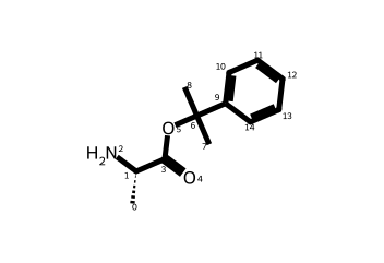 C[C@H](N)C(=O)OC(C)(C)c1ccccc1